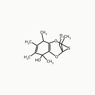 CCC12OC3=C(OC1(C)S2)C(C)C(C)=C(C)C3(C)O